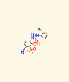 CS(=O)(=O)c1c(C#N)ccc(NC(=O)Nc2ccccc2Br)c1O